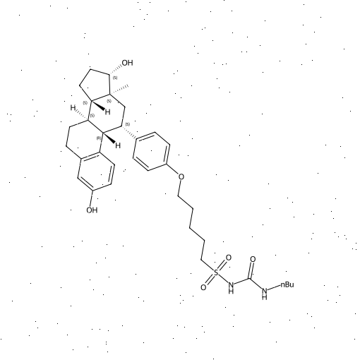 CCCCNC(=O)NS(=O)(=O)CCCCCOc1ccc([C@H]2C[C@]3(C)[C@@H](O)CC[C@H]3[C@@H]3CCc4cc(O)ccc4[C@H]32)cc1